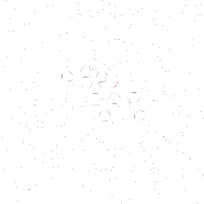 O=c1c2ccccc2c2cc(-c3cccc4c3oc3ccccc34)cc3c2n1-c1ccc(-c2cccc4c2oc2ccccc24)cc1C31c2ccccc2Oc2ccccc21